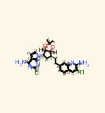 CC1(C)O[C@@H]2[C@@H](CCc3ccc4cc(Cl)c(N)nc4c3)C[C@@H](n3ccc4c(N)nc(Cl)nc43)[C@@H]2O1